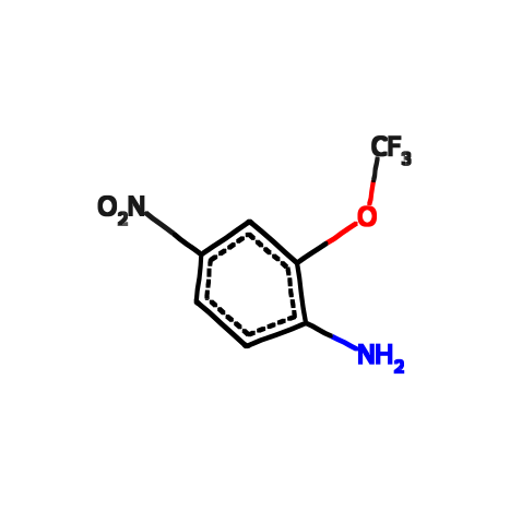 Nc1ccc([N+](=O)[O-])cc1OC(F)(F)F